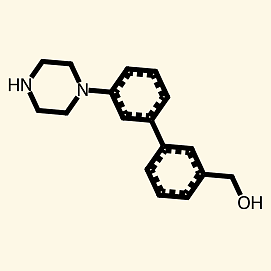 OCc1cccc(-c2cccc(N3CCNCC3)c2)c1